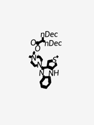 CCCCCCCCCCC(CCCCCCCCCC)C(=O)OC[N+]1(C)CCN(C2=Nc3ccccc3NC3=C2C=S(C)C3)CC1